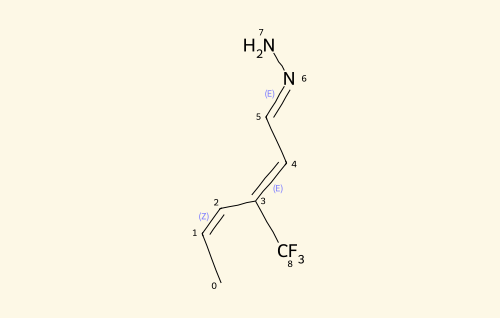 C\C=C/C(=C\C=N\N)C(F)(F)F